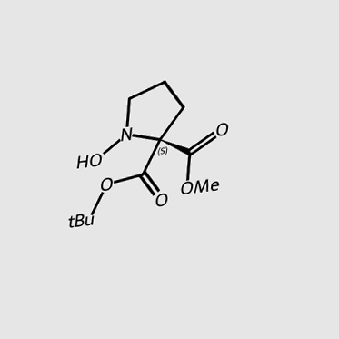 COC(=O)[C@]1(C(=O)OC(C)(C)C)CCCN1O